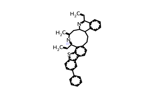 C=CC1=NC2CC(=C)/N=C(/C=C)c3c(ccc4c3sc3ccc(-c5ccccc5)cc34)CCC2c2ccccc21